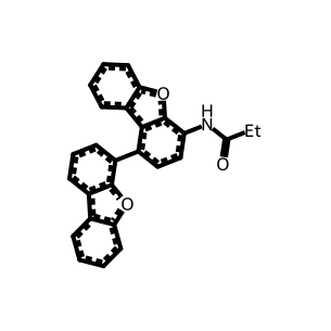 CCC(=O)Nc1ccc(-c2cccc3c2oc2ccccc23)c2c1oc1ccccc12